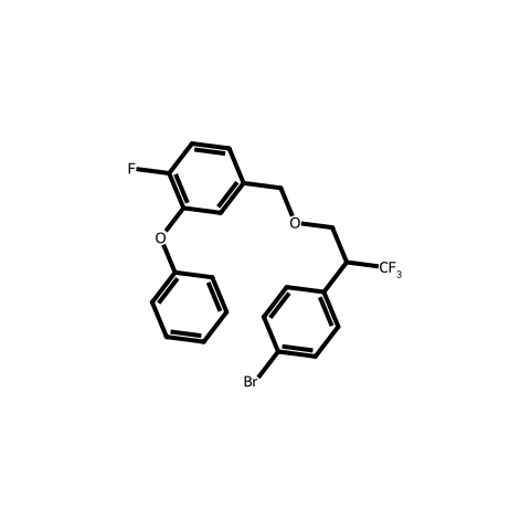 Fc1ccc(COCC(c2ccc(Br)cc2)C(F)(F)F)cc1Oc1ccccc1